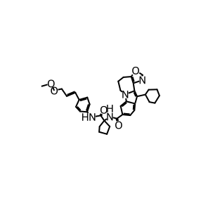 COOC/C=C/c1ccc(NC(=O)C2(NC(=O)c3ccc4c(C5CCCCC5)c5n(c4c3)CCCc3ocnc3-5)CCCC2)cc1